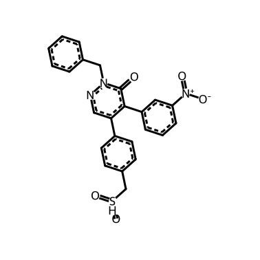 O=c1c(-c2cccc([N+](=O)[O-])c2)c(-c2ccc(C[SH](=O)=O)cc2)cnn1Cc1ccccc1